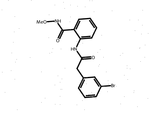 CONC(=O)c1ccccc1NC(=O)Cc1cccc(Br)c1